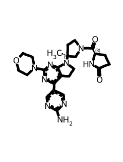 C[C@]1(N2CCc3c(-c4cnc(N)nc4)nc(N4CCOCC4)nc32)CCN(C(=O)[C@H]2CCC(=O)N2)C1